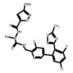 CCN(NC(=O)c1cc(OC)no1)C(=O)NCc1ncc(-c2cc(Cl)cc(F)c2-c2noc(C)n2)cc1F